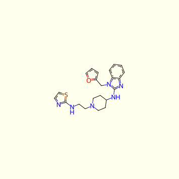 c1coc(Cn2c(NC3CCN(CCNc4nccs4)CC3)nc3ccccc32)c1